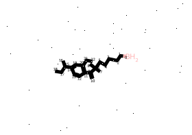 BCCCCCC(C)(C)C(=C)c1ccc(C(C)CC)cc1CC